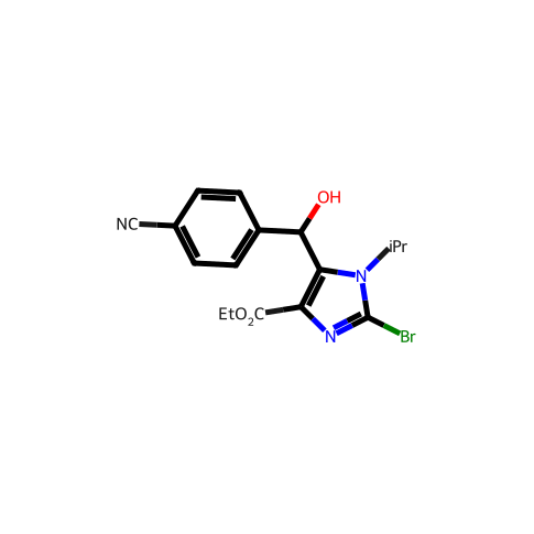 CCOC(=O)c1nc(Br)n(C(C)C)c1C(O)c1ccc(C#N)cc1